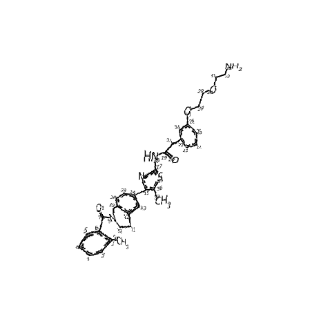 Cc1ccccc1C(=O)N1CCc2cc(-c3nc(NC(=O)Cc4cccc(OCCOCCN)c4)sc3C)ccc21